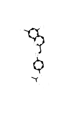 CCOC(=O)C(C)Oc1ccc(N=Cc2ccc3c(Cl)cc(Cl)cc3n2)cc1